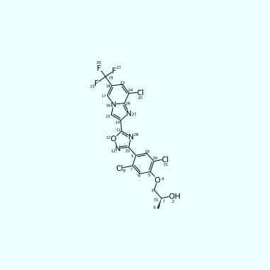 C[C@H](O)COc1cc(Cl)c(-c2noc(-c3cn4cc(C(F)(F)F)cc(Cl)c4n3)n2)cc1Cl